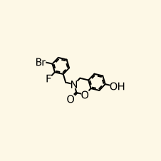 O=C1Oc2cc(O)ccc2CN1Cc1cccc(Br)c1F